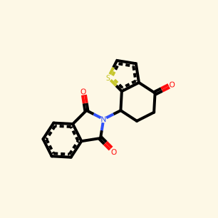 O=C1CCC(N2C(=O)c3ccccc3C2=O)c2sccc21